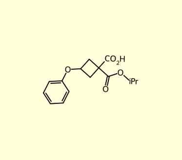 CC(C)OC(=O)C1(C(=O)O)CC(Oc2ccccc2)C1